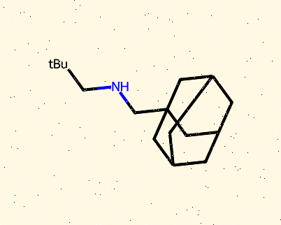 CC(C)(C)CNCC12CC3CC(CC(C3)C1)C2